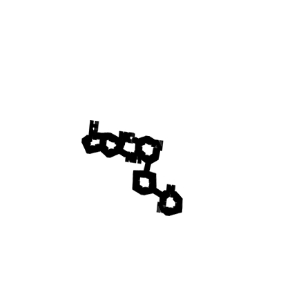 N#Cc1cncc(-c2cccc(-c3ncccn3)c2)c1Nc1ccc2[nH]ccc2c1